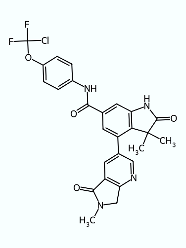 CN1Cc2ncc(-c3cc(C(=O)Nc4ccc(OC(F)(F)Cl)cc4)cc4c3C(C)(C)C(=O)N4)cc2C1=O